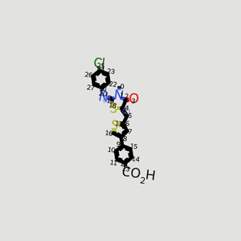 CN1C(=O)/C(=C/c2cc(-c3ccc(C(=O)O)cc3)cs2)S/C1=N/c1ccc(Cl)cc1